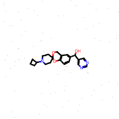 OC(c1cncnc1)c1ccc2c(c1)COC1(CCN(C3CCC3)CC1)O2